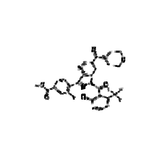 COC(=O)c1ccc(-c2nn(C(=O)c3c(Cl)cccc3C(F)(F)F)c3cc(C(=O)N4CCOCC4)cnc23)c(F)c1